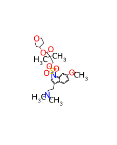 COc1ccc2c(CCN(C)C)cn(S(=O)(=O)OCC(C)(C)C(=O)OC3CCOCC3)c2c1